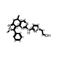 CC1Cc2nn(C)c(-c3ccccc3)c2-c2nc(Nc3ccn(CCO)n3)ncc21